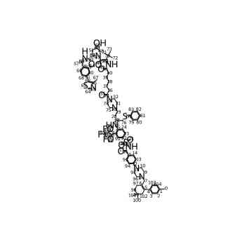 Cc1ccc(C2=C(CN3CCN(c4ccc(C(=O)NS(=O)(=O)c5ccc(N[C@H](CCN6CCN(C(=O)CCCCCC(=O)N[C@H](C(=O)N7C[C@H](O)C[C@H]7C(=O)N[C@@H](C)c7ccc(-c8scnc8C)cc7)C(C)(C)C)CC6)CSc6ccccc6)c(S(=O)(=O)C(F)(F)F)c5)cc4)CC3)CCC(C)(C)C2)cc1